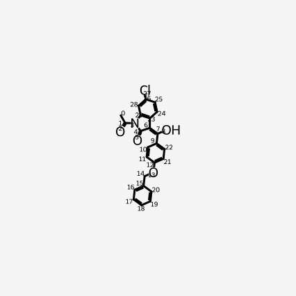 CC(=O)N1C(=O)C(=C(O)c2ccc(OCc3ccccc3)cc2)c2ccc(Cl)cc21